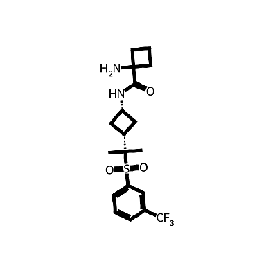 CC(C)([C@H]1C[C@@H](NC(=O)C2(N)CCC2)C1)S(=O)(=O)c1cccc(C(F)(F)F)c1